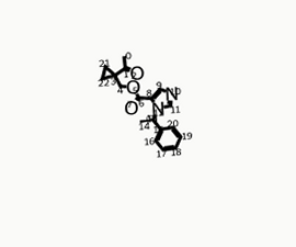 CC(=O)C1(COC(=O)c2cncn2[C@H](C)c2ccccc2)CC1